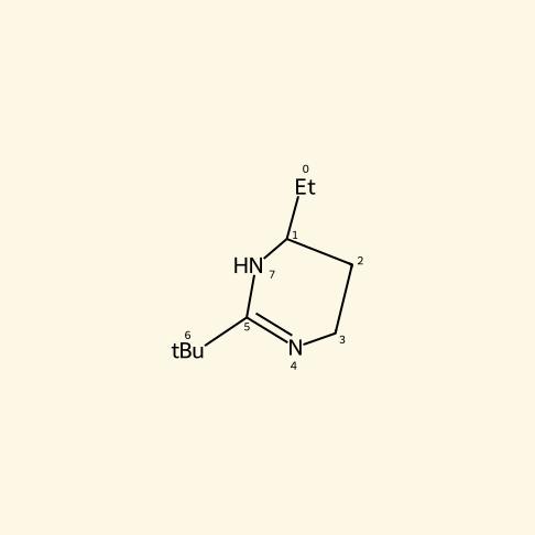 CCC1CCN=C(C(C)(C)C)N1